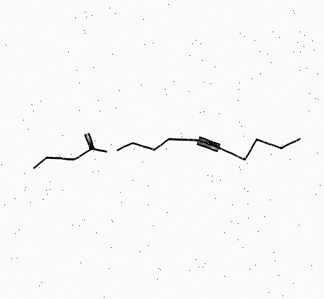 CCCCC#CCCCOC(=O)CCBr